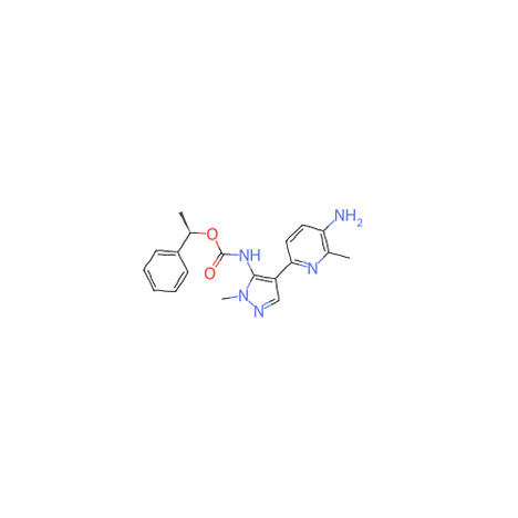 Cc1nc(-c2cnn(C)c2NC(=O)O[C@H](C)c2ccccc2)ccc1N